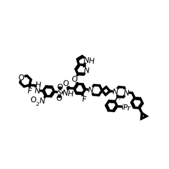 CC(C)c1ccccc1[C@@H]1CN(Cc2ccc(C3CC3)cc2)CCN1C1CC2(CCN(c3cc(Oc4cnc5[nH]ccc5c4)c(C(=O)NS(=O)(=O)c4ccc(NCC5(F)CCOCC5)c([N+](=O)[O-])c4)cc3F)CC2)C1